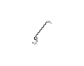 CCCCCCCCCCCCN1C=CN(CC)C1